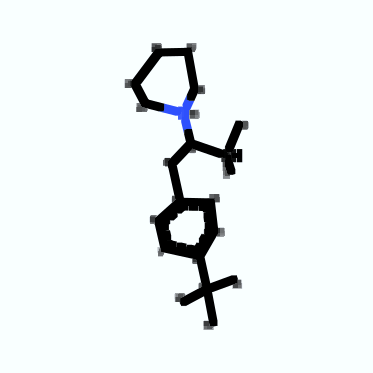 C[SiH](C)C(Cc1ccc(C(C)(C)C)cc1)N1CCCCC1